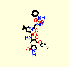 O=C(COC(F)(F)F)C(C[C@@H]1CCNC1=O)NC(=O)[C@@H]1CC2(CC2)CN1C(=O)CNS(=O)(=O)Nc1ccccc1